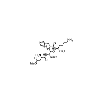 CCCCCCCCC(NC(=O)C(N)CC(=O)OC)C(=O)NC(Cc1cnc[nH]1)C(=O)NC(CCCCN)C(=O)O